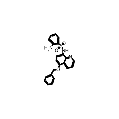 Nc1ccccc1S(=O)(=O)Nc1ccc(OCc2ccccc2)c2cccnc12